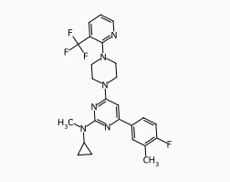 Cc1cc(-c2cc(N3CCN(c4ncccc4C(F)(F)F)CC3)nc(N(C)C3CC3)n2)ccc1F